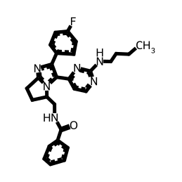 CCCCNc1nccc(-c2c(-c3ccc(F)cc3)nc3n2C(CNC(=O)c2ccccc2)CC3)n1